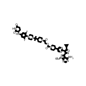 CC(C)(C1CCN(C(=O)COC(=O)N2CCC(c3cnc(-c4c(-c5nn(C(C)(C)C)c6ncnc(N)c56)noc4C4CC4)nc3)CC2)CC1)N1CCN(c2c(F)cc(N[C@@H]3CCC(=O)NC3=O)cc2F)CC1